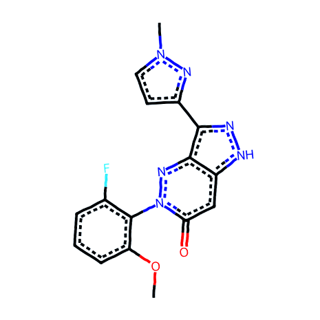 COc1cccc(F)c1-n1nc2c(-c3ccn(C)n3)n[nH]c2cc1=O